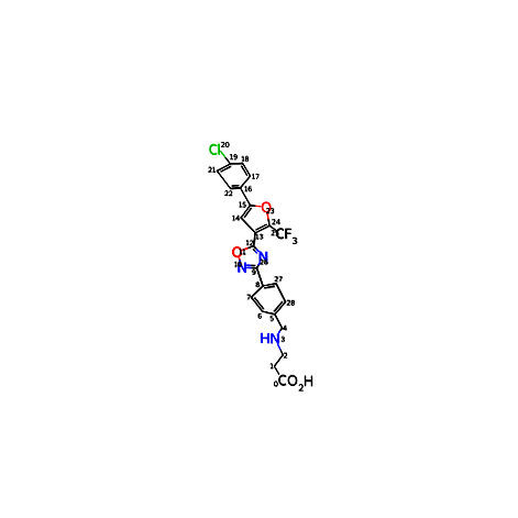 O=C(O)CCNCc1ccc(-c2noc(-c3cc(-c4ccc(Cl)cc4)oc3C(F)(F)F)n2)cc1